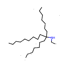 [CH2]CNC(CCCCCCC)(CCCCCCC)CCCCCCCCC